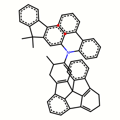 CC1CC2=C(C=C1N(c1ccc3c(c1)C(C)(C)c1ccccc1-3)c1ccccc1-c1ccccc1)C13C4=C(CCC=C4c4cccc2c41)c1ccccc13